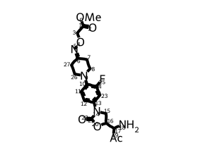 COC(=O)CON=C1CCN(c2ccc(N3CC(C(N)C(C)=O)OC3=O)cc2F)CC1